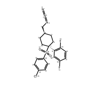 [N-]=[N+]=NC[C@H]1CC[C@@](c2cc(F)ccc2F)(S(=O)(=O)c2ccc(Cl)cc2)CC1